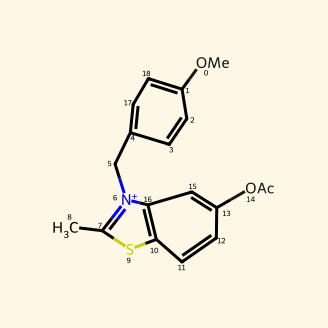 COc1ccc(C[n+]2c(C)sc3ccc(OC(C)=O)cc32)cc1